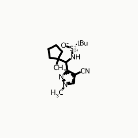 Cn1cc(C#N)c(C(N[S@+]([O-])C(C)(C)C)C2(C)CCCC2)n1